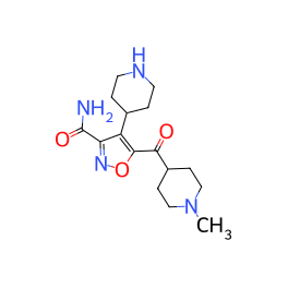 CN1CCC(C(=O)c2onc(C(N)=O)c2C2CCNCC2)CC1